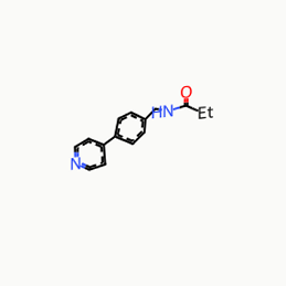 CCC(=O)NCc1ccc(-c2ccncc2)cc1